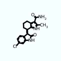 Cc1[nH]c2c(c1C(N)=O)CCC/C2=C1/C(=O)Nc2cc(Cl)ccc21